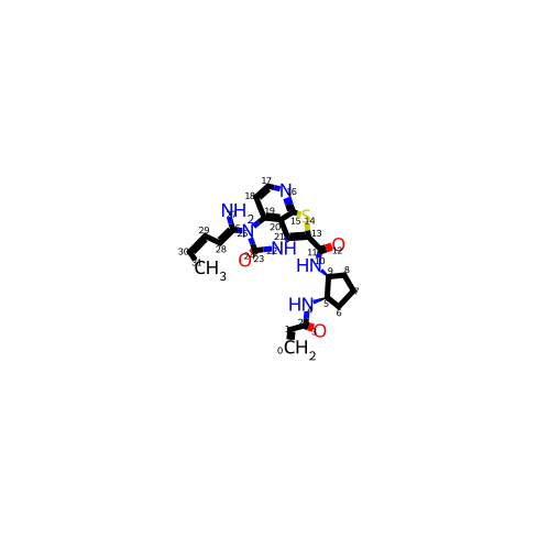 C=CC(=O)N[C@@H]1CCC[C@@H]1NC(=O)c1sc2nccc3c2c1NC(=O)N3/C(N)=C/C=C\C